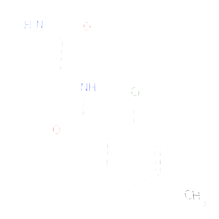 Cc1ccc(C(=O)NCC(N)=O)c(Cl)c1